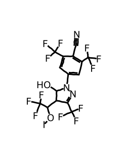 N#Cc1c(C(F)(F)F)cc(N2N=C(C(F)(F)F)C(C(OI)C(F)(F)F)C2O)cc1C(F)(F)F